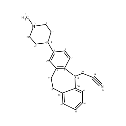 CN1CCN(c2ccc3c(c2)CCc2ccccc2N3CC#N)CC1